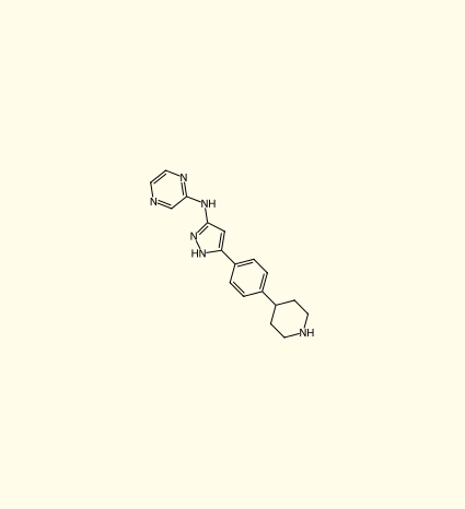 c1cnc(Nc2cc(-c3ccc(C4CCNCC4)cc3)[nH]n2)cn1